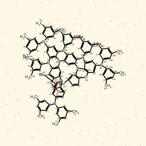 Cc1cc(C)cc(N(c2cc(C)cc(C)c2)c2cc3c4c(c2)Oc2cc5c(cc2B4c2cc(C(C)(C)C)ccc2O3)B2c3cc4c(cc3N(c3cc(C)cc(C)c3)c3cc(N(c6cc(C)cc(C)c6)c6cc(C)cc(C)c6)cc(c32)N5c2cc(C)cc(C)c2)N(c2cc(C)cc(C)c2)c2cc(N(c3cc(C)cc(C)c3)c3cc(C)cc(C)c3)cc3c2B4c2cc(C(C)(C)C)ccc2O3)c1